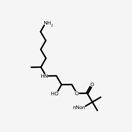 CCCCCCCCCC(C)(C)C(=O)OCC(O)CNC(C)CCCCN